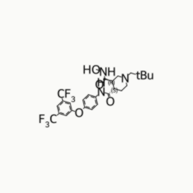 CC(C)(C)CN1CC[C@H](C(=O)Nc2ccc(Oc3cc(C(F)(F)F)cc(C(F)(F)F)c3)cc2)[C@@H](C(=O)NO)C1